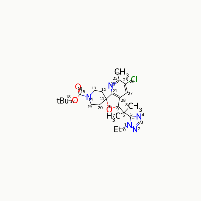 CCn1ncnc1C(C)(C)C1OC2(CCN(C(=O)OC(C)(C)C)CC2)c2nc(C)c(Cl)cc21